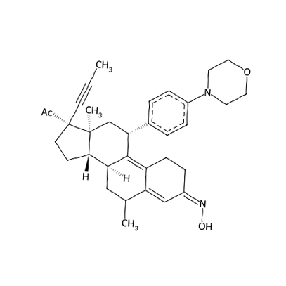 CC#C[C@]1(C(C)=O)CC[C@H]2[C@@H]3CC(C)C4=CC(=NO)CCC4=C3[C@@H](c3ccc(N4CCOCC4)cc3)C[C@@]21C